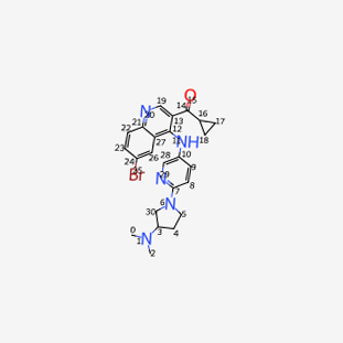 CN(C)C1CCN(c2ccc(Nc3c(C(=O)C4CC4)cnc4ccc(Br)cc34)cn2)C1